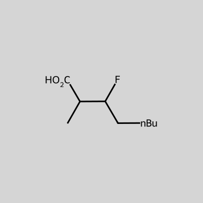 CCCCCC(F)C(C)C(=O)O